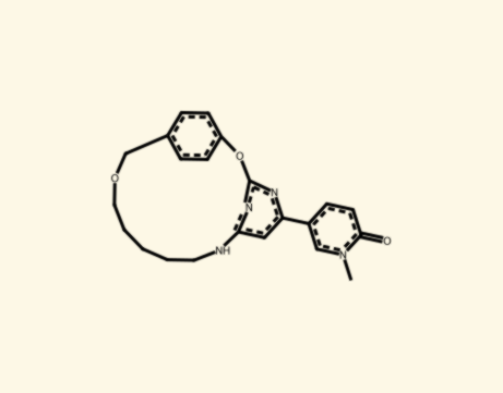 Cn1cc(-c2cc3nc(n2)Oc2ccc(cc2)COCCCCCN3)ccc1=O